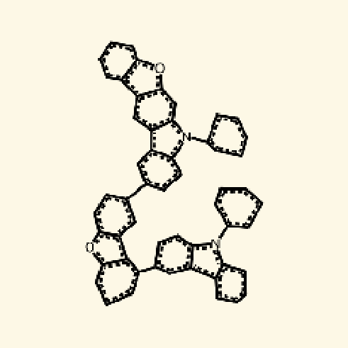 c1ccc(-n2c3ccccc3c3cc(-c4cccc5oc6ccc(-c7ccc8c(c7)c7cc9c(cc7n8-c7ccccc7)oc7ccccc79)cc6c45)ccc32)cc1